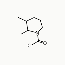 CC1CCCN(C(=O)Cl)C1C